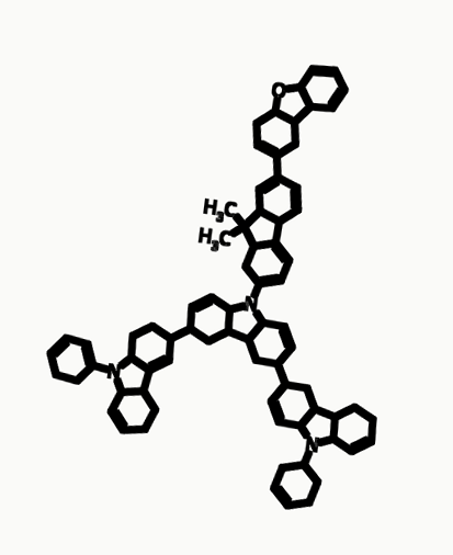 CC1(C)C2CC(N3C4C=CC(C5C=C6C7CCC=CC7N(C7=CC=CCC7)C6CC5)CC4C4CC(C5C=CC6C(C5)C5CCC=CC5N6C5CC=CCC5)C=CC43)=CC=C2C2C=CC(C3=CCC4OC5C=CC=CC5C4C3)=CC21